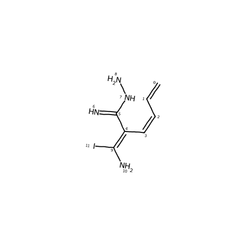 C=C/C=C\C(C(=N)NN)=C(/N)I